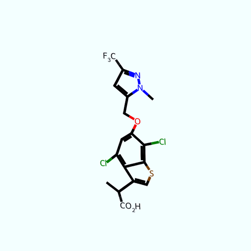 CC(C(=O)O)c1csc2c(Cl)c(OCc3cc(C(F)(F)F)nn3C)cc(Cl)c12